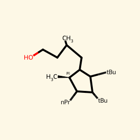 CCCC1C(C(C)(C)C)C(C(C)(C)C)C(CC(C)CCO)[C@@H]1C